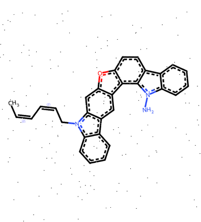 C/C=C\C=C/Cn1c2ccccc2c2cc3c(cc21)oc1ccc2c4ccccc4n(N)c2c13